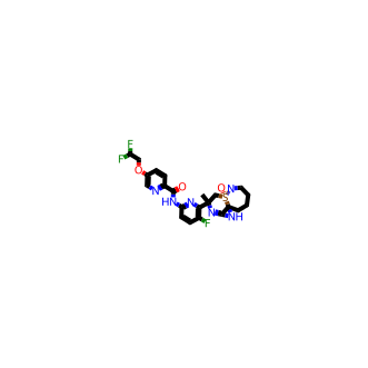 CC1(c2nc(NC(=O)c3ccc(OCC(F)F)cn3)ccc2F)CS2(=O)=NCCCCC23NC3=N1